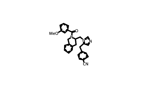 COc1cccc(C(=O)N2Cc3ccccc3CC2Cn2cncc2Cc2ccc(C#N)cc2)c1